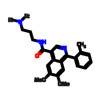 CCN(CC)CCCNC(=O)c1cnc(-c2ccccc2C)c2cc(OC)c(OC)cc12